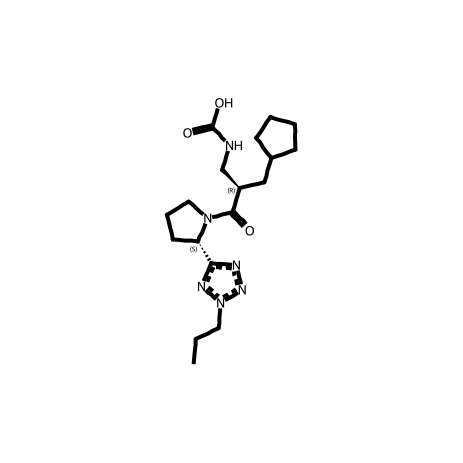 CCCn1nnc([C@@H]2CCCN2C(=O)[C@@H](CNC(=O)O)CC2CCCC2)n1